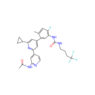 CC(=O)Nc1cc(-c2cc(-c3cc(NC(=O)NCCCC(F)(F)F)c(F)cc3C)cc(C3CC3)n2)ccn1